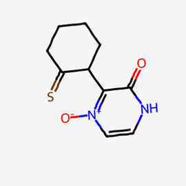 O=c1[nH]cc[n+]([O-])c1C1CCCCC1=S